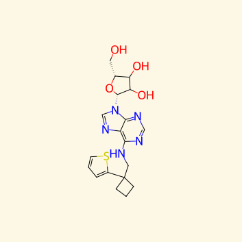 OC[C@H]1O[C@@H](n2cnc3c(NCC4(c5cccs5)CCC4)ncnc32)C(O)C1O